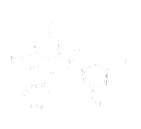 CCOC(=O)C(SP(=O)(c1cc(C)cc(C)c1)c1cc(C)cc(C)c1)c1ccccc1